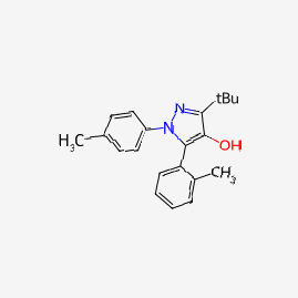 Cc1ccc(-n2nc(C(C)(C)C)c(O)c2-c2ccccc2C)cc1